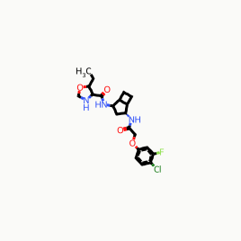 CCC1OCNC1C(=O)NC1C[C@H](NC(=O)COc2ccc(Cl)c(F)c2)C2CCC12